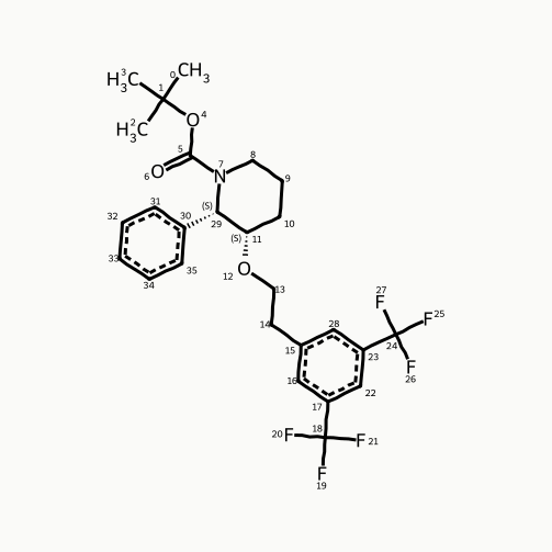 CC(C)(C)OC(=O)N1CCC[C@H](OCCc2cc(C(F)(F)F)cc(C(F)(F)F)c2)[C@@H]1c1ccccc1